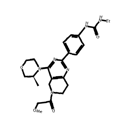 CCNC(=O)Nc1ccc(-c2nc3c(c(N4CCOC[C@@H]4C)n2)CN(C(=O)COC)CC3)cc1